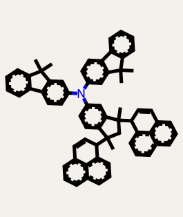 CC1(C)c2ccccc2-c2ccc(N(c3ccc4c(c3)C(C)(C)c3ccccc3-4)c3ccc4c(c3)C(C)(C3C=Cc5cccc6cccc3c56)CC4(C)C3C=Cc4cccc5cccc3c45)cc21